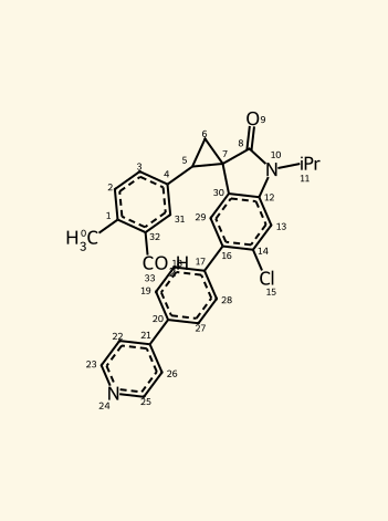 Cc1ccc(C2CC23C(=O)N(C(C)C)c2cc(Cl)c(-c4ccc(-c5ccncc5)cc4)cc23)cc1C(=O)O